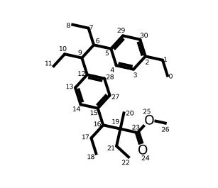 CCc1ccc(C(CC)C(CC)c2ccc(C(CC)C(C)(CC)C(=O)OC)cc2)cc1